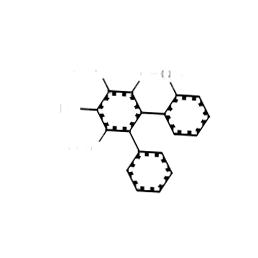 O=Cc1c(C=O)c(C=O)c(-c2ccccc2C(=O)O)c(-c2ccccc2)c1C=O